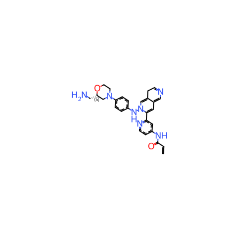 C=CC(=O)Nc1ccnc(C2=CC3=CN=CCC3=CN2Nc2ccc(N3CCO[C@@H](CN)C3)cc2)c1